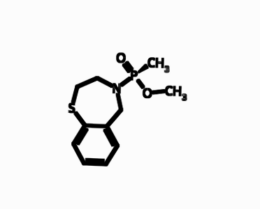 CO[P@@](C)(=O)N1CCSc2ccccc2C1